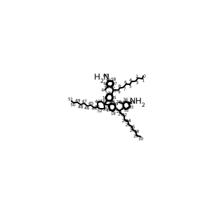 CCCCCCCCCCC(c1ccc(C2(c3ccc(C(CCCCCCCCCC)c4ccc(N)cc4C)cc3)CCC(CCCCCCCC)CC2)cc1)c1ccc(N)cc1C